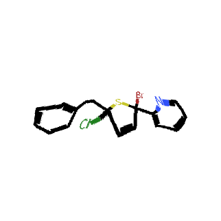 ClC1(Cc2ccccc2)C=CC(Br)(c2ccccn2)S1